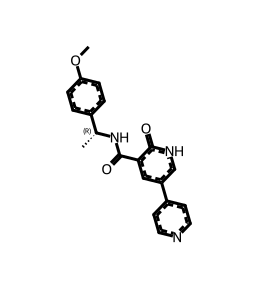 COc1ccc([C@@H](C)NC(=O)c2cc(-c3ccncc3)c[nH]c2=O)cc1